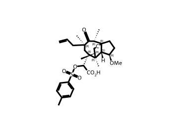 C=CC[C@]1(C)C[C@@H](C(OS(=O)(=O)c2ccc(C)cc2)C(=O)O)[C@@]2(C)[C@H](C)CC[C@]3(CC[C@@H](OC)[C@@H]32)[C@@H](C)C1=O